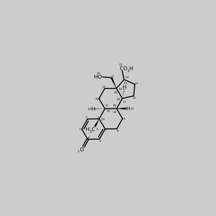 C[C@]12C=CC(=O)C=C1CC[C@H]1[C@@H]3CCC(C(=O)O)[C@@]3(CO)CC[C@@H]12